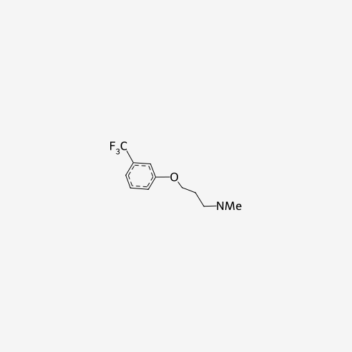 CNCCCOc1cccc(C(F)(F)F)c1